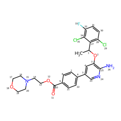 CC(Oc1cc(-c2ccc(C(=O)OCCN3CCOCC3)cc2)cnc1N)c1c(Cl)ccc(F)c1Cl